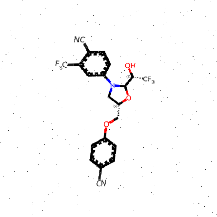 N#Cc1ccc(OC[C@@H]2CN(c3ccc(C#N)c(C(F)(F)F)c3)C([C@H](O)C(F)(F)F)O2)cc1